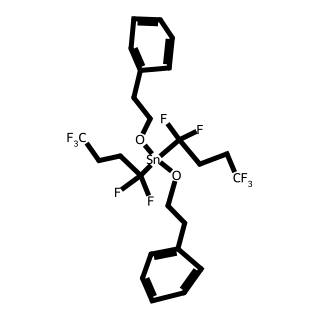 FC(F)(F)CC[C](F)(F)[Sn]([O]CCc1ccccc1)([O]CCc1ccccc1)[C](F)(F)CCC(F)(F)F